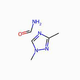 Cc1ncn(C)n1.NC=O